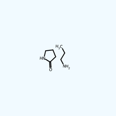 CCCN.O=C1CCCN1